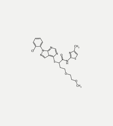 COCCOCCC(Sc1ncnc2c1cnn2-c1ccccc1Cl)C(=O)Nc1nc(C)cs1